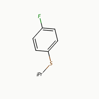 CC(C)Sc1ccc(F)cc1